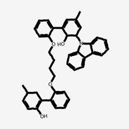 CC1=CC(n2c3ccccc3c3ccccc32)C(O)C(c2ccccc2OCCCCOc2ccccc2C2=C(O)C=CC(C)C2)=C1